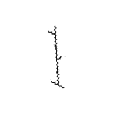 CCCCC(=CCCCCC(=O)OCCCCCN(CCO)CCCCCOC(=O)CCCCC=C(CCCC)CCCC)CCCC